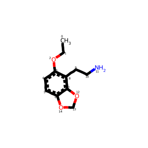 CCOc1ccc2c(c1CCN)OCO2